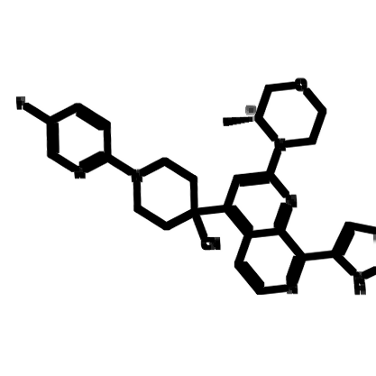 C[C@@H]1COCCN1c1cc(C2(C#N)CCN(c3ccc(F)cn3)CC2)c2ccnc(-c3ccn[nH]3)c2n1